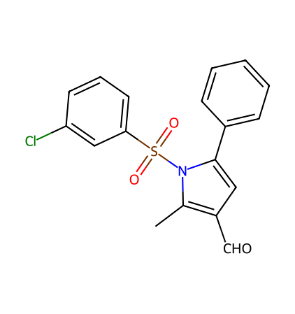 Cc1c(C=O)cc(-c2ccccc2)n1S(=O)(=O)c1cccc(Cl)c1